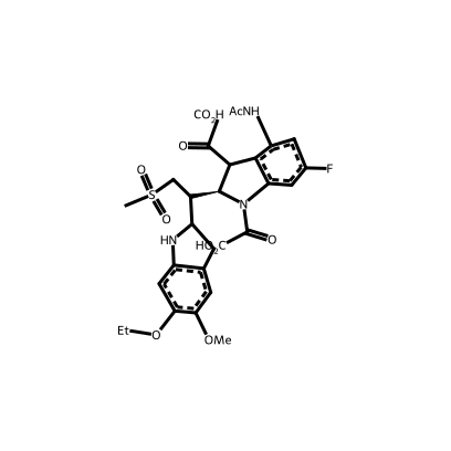 CCOc1cc2c(cc1OC)CC(C(CS(C)(=O)=O)[C@H]1C(C(=O)C(=O)O)c3c(NC(C)=O)cc(F)cc3N1C(=O)C(=O)O)N2